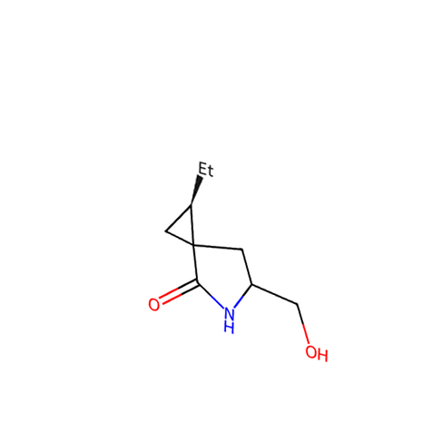 CC[C@@H]1CC12CC(CO)NC2=O